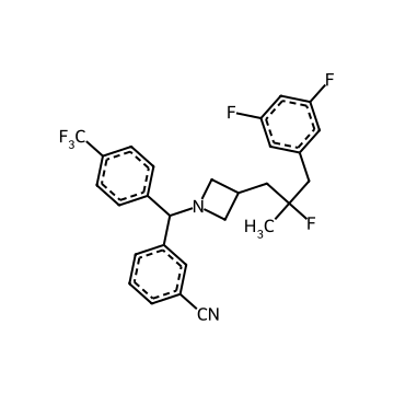 CC(F)(Cc1cc(F)cc(F)c1)CC1CN(C(c2ccc(C(F)(F)F)cc2)c2cccc(C#N)c2)C1